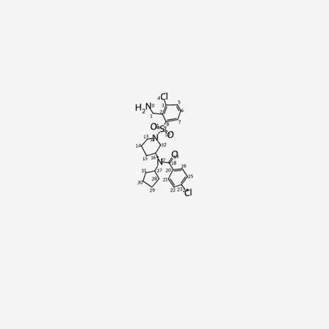 NCc1c(Cl)cccc1S(=O)(=O)N1CCC[C@H](N(C(=O)c2ccc(Cl)cc2)C2CCCC2)C1